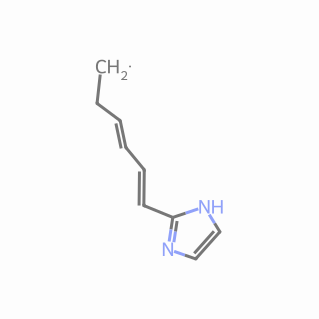 [CH2]CC=CC=Cc1ncc[nH]1